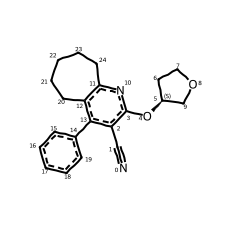 N#Cc1c(O[C@H]2CCOC2)nc2c(c1-c1ccccc1)CCCCC2